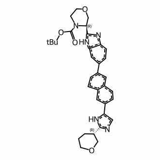 CC(C)(C)OC(=O)N1CCOC[C@H]1c1nc2ccc(-c3ccc4cc(-c5cnc([C@H]6CCCOC6)[nH]5)ccc4c3)cc2[nH]1